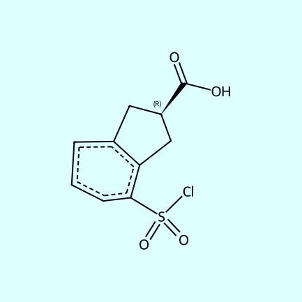 O=C(O)[C@@H]1Cc2cccc(S(=O)(=O)Cl)c2C1